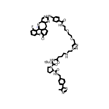 Cc1ncsc1-c1ccc(CNC(=O)[C@@H]2CCCN2C(=O)[C@@H](NC(=O)CCCNCCn2cc(COCCOCCNC(=O)c3ccc(Nc4ncc5c(n4)Cc4ccc(Cl)cc4/C(c4c(F)cccc4F)=N\C5)cc3)nn2)C(C)(C)C)cc1